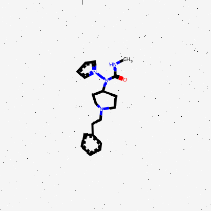 CNC(=O)N(C1CCN(CCc2ccccc2)CC1)n1cccc1